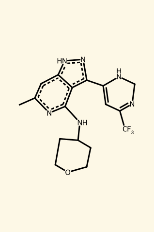 Cc1cc2[nH]nc(C3=CC(C(F)(F)F)=NCN3)c2c(NC2CCOCC2)n1